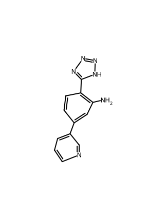 Nc1cc(-c2cccnc2)ccc1-c1nnn[nH]1